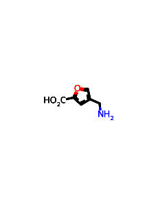 NCc1coc(C(=O)O)c1